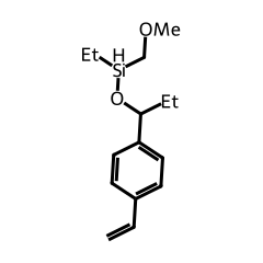 C=Cc1ccc(C(CC)O[SiH](CC)COC)cc1